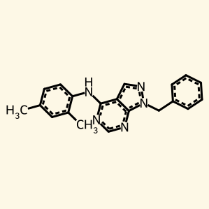 Cc1ccc(Nc2ncnc3c2cnn3Cc2ccccc2)c(C)c1